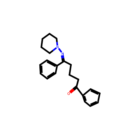 O=C(CCCC(=NN1CCCCC1)c1ccccc1)c1ccccc1